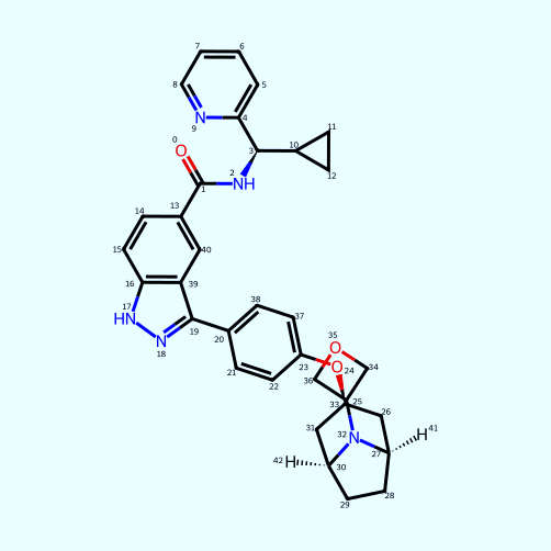 O=C(N[C@@H](c1ccccn1)C1CC1)c1ccc2[nH]nc(-c3ccc(O[C@H]4C[C@H]5CC[C@@H](C4)N5C4COC4)cc3)c2c1